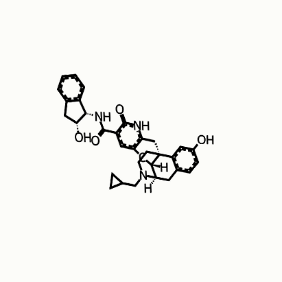 O=C(N[C@H]1c2ccccc2C[C@H]1O)c1cc2c([nH]c1=O)C[C@]13CCN(CC4CC4)[C@H](Cc4ccc(O)cc41)[C@@H]3C2